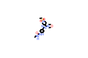 CCNC(=O)Nc1ccc(-c2nc3c(c(N4CCOCC4)n2)CCN(S(=O)(=O)CC)C3)cc1